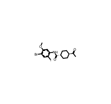 COc1cc(NC(=O)[C@H]2CC[C@H](C(C)=O)CC2)c(I)cc1Br